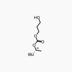 C[C@@H](OC(=O)OCCCO)C(C)(C)C